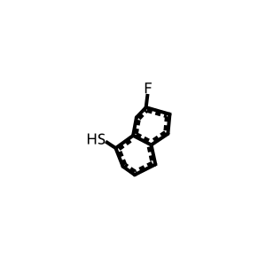 Fc1ccc2cccc(S)c2c1